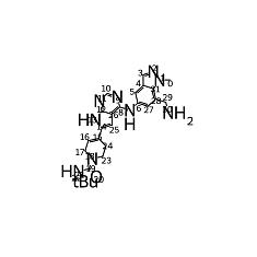 Cn1ncc2cc(Nc3ncnc4[nH]c(C5=CCN(C(=O)NC(C)(C)C)CC5)cc34)cc(CN)c21